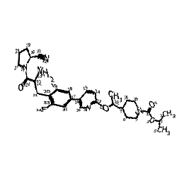 CC(C)OC(=O)N1CCC(C(C)Oc2ccc(-c3ccc(CC(N)C(=O)N4CCC[C@H]4C#N)c(F)c3)cn2)CC1